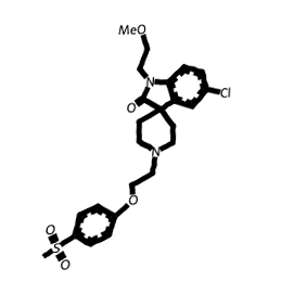 COCCN1C(=O)C2(CCN(CCOc3ccc(S(C)(=O)=O)cc3)CC2)c2cc(Cl)ccc21